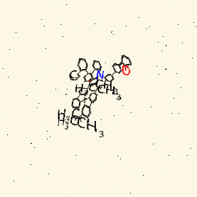 CC(C)(C)c1ccc2c(c1)C1(c3ccccc3-c3ccc(-c4ccc(N(c5cccc(-c6ccc7c(c6)oc6ccccc67)c5)c5ccccc5-c5ccccc5-c5ccccc5-c5ccccc5)cc4)cc31)c1cc(C(C)(C)C)ccc1-2